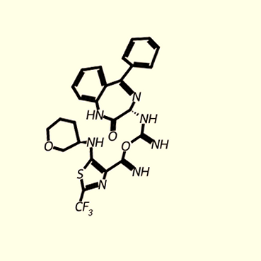 N=C(N[C@H]1N=C(c2ccccc2)c2ccccc2NC1=O)OC(=N)c1nc(C(F)(F)F)sc1N[C@@H]1CCCOC1